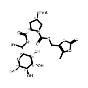 CCCCC[C@@H]1C[C@@H](C(=O)NC(C(C)C)[C@H]2O[C@H](CCC)[C@H](O)[C@@H](O)[C@H]2O)N(C(=O)OCc2oc(=O)oc2C)C1